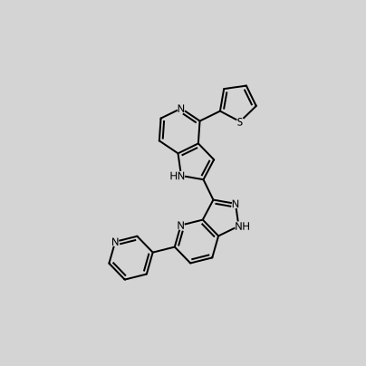 c1cncc(-c2ccc3[nH]nc(-c4cc5c(-c6cccs6)nccc5[nH]4)c3n2)c1